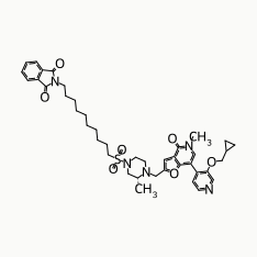 C[C@@H]1CN(S(=O)(=O)CCCCCCCCCCN2C(=O)c3ccccc3C2=O)CCN1Cc1cc2c(=O)n(C)cc(-c3ccncc3OCC3CC3)c2o1